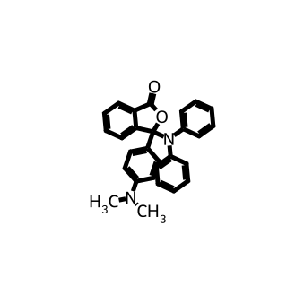 CN(C)c1ccc(C2(N(c3ccccc3)c3ccccc3)OC(=O)c3ccccc32)cc1